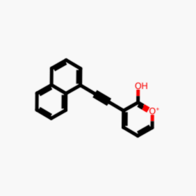 Oc1[o+]cccc1C#Cc1cccc2ccccc12